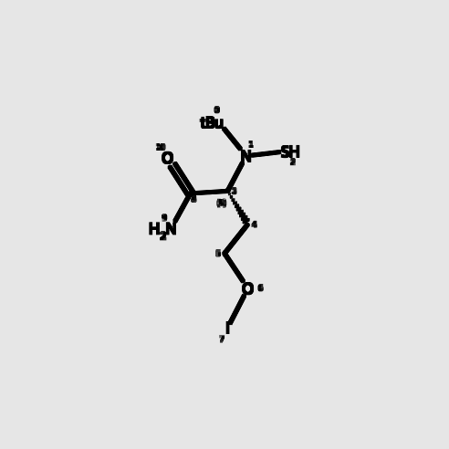 CC(C)(C)N(S)[C@H](CCOI)C(N)=O